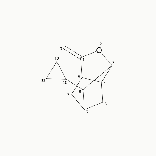 C=C1OC2C3CC(CC13)C2C1CC1